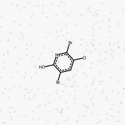 Oc1nc(Br)c(Cl)cc1Br